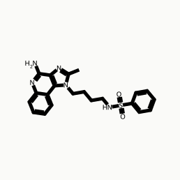 Cc1nc2c(N)nc3ccccc3c2n1CCCCNS(=O)(=O)c1ccccc1